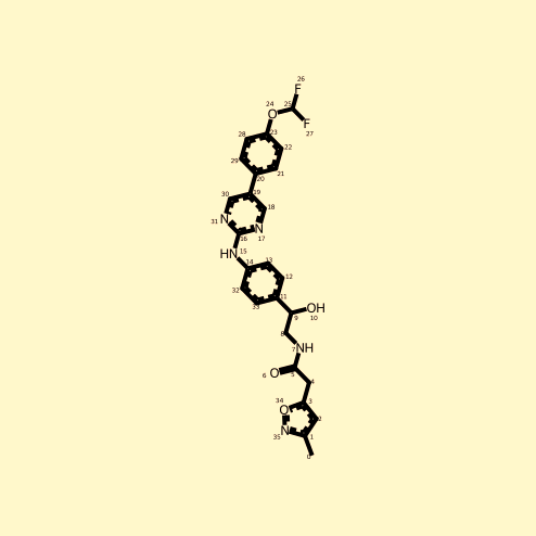 Cc1cc(CC(=O)NCC(O)c2ccc(Nc3ncc(-c4ccc(OC(F)F)cc4)cn3)cc2)on1